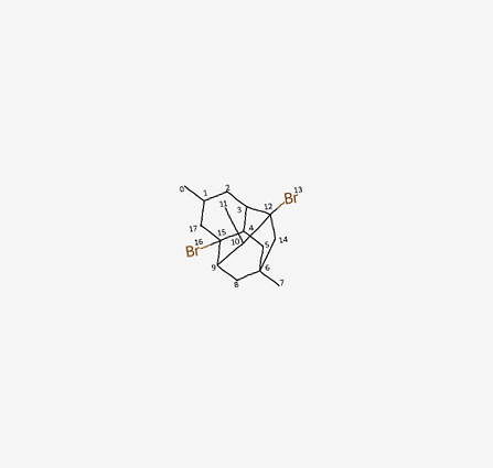 CC1CC2C3CC4(C)CC(C(C)C2(Br)C4)C3(Br)C1